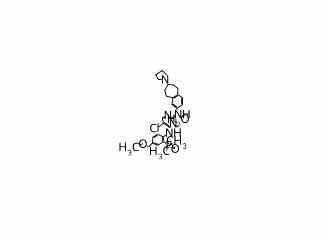 COCc1ccc(Nc2nc(Nc3ccc4c(c3)CC[C@@H](N3CCCC3)CC4)ncc2Cl)c(P(C)(C)=O)c1.O